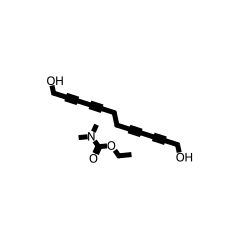 CCOC(=O)N(C)C.OCC#CC#CCCC#CC#CCO